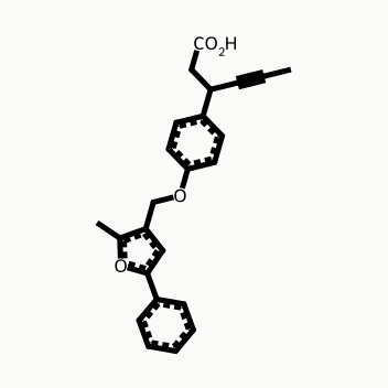 CC#CC(CC(=O)O)c1ccc(OCc2cc(-c3ccccc3)oc2C)cc1